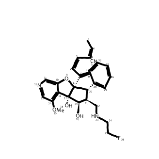 C=C(/C=C\C(C#N)=C/C)[C@@]12Oc3cncc(OC)c3[C@]1(O)[C@H](O)[C@H](CNCCF)[C@H]2c1ccccc1